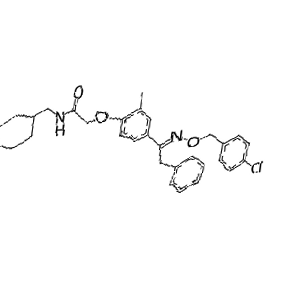 Cc1cc(C(Cc2ccccc2)=NOCc2ccc(Cl)cc2)ccc1OCC(=O)NCC1CCOCC1